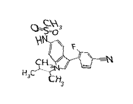 CC(C)C(C)n1cc(-c2ccc(C#N)cc2F)c2ccc(NS(C)(=O)=O)cc21